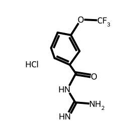 Cl.N=C(N)NC(=O)c1cccc(OC(F)(F)F)c1